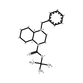 CC(C)(C)OC(=O)N1CCN(Cc2ccccc2)C2CCCCC21